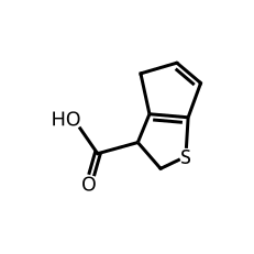 O=C(O)C1CSC2=C1CC=C2